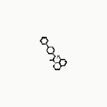 C=C(CN1CCC(c2ccccc2)CC1)N1CCCc2cccc(N)c21